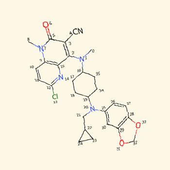 CN(c1c(C#N)c(=O)n(C)c2ccc(Cl)nc12)C1CCC(N(CC2CC2)c2ccc3c(c2)OCO3)CC1